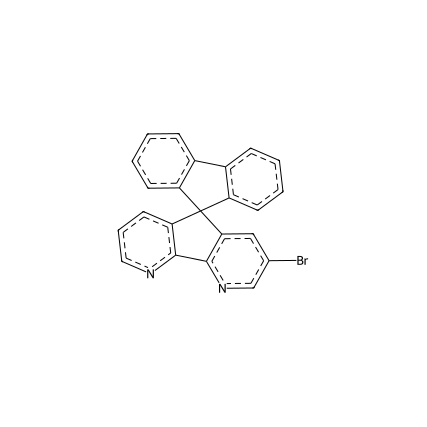 Brc1cnc2c(c1)C1(c3ccccc3-c3ccccc31)c1cccnc1-2